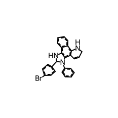 Brc1ccc(C2Nc3c(c4c(c5ccccc35)NCC=C4)N2c2ccccc2)cc1